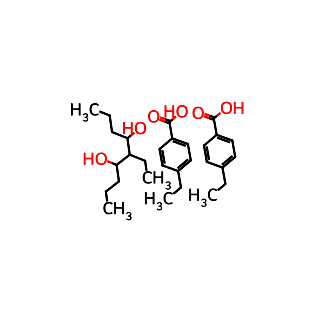 CCCC(O)C(CC)C(O)CCC.CCc1ccc(C(=O)O)cc1.CCc1ccc(C(=O)O)cc1